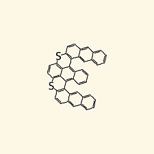 c1ccc2cc3c4c(ccc3cc2c1)Sc1ccc2c3c(c5ccccc5c-4c13)-c1c(ccc3cc4ccccc4cc13)S2